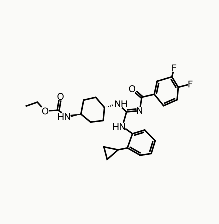 CCOC(=O)N[C@H]1CC[C@H](N/C(=N\C(=O)c2ccc(F)c(F)c2)Nc2ccccc2C2CC2)CC1